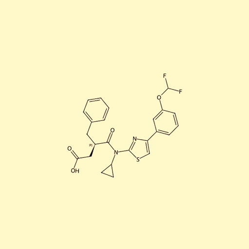 O=C(O)C[C@@H](Cc1ccccc1)C(=O)N(c1nc(-c2cccc(OC(F)F)c2)cs1)C1CC1